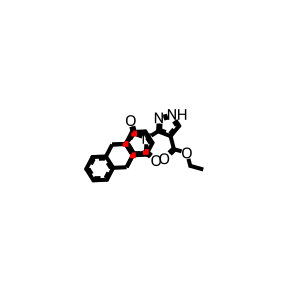 CCOC(=O)c1c[nH]nc1N1C(=O)C2=C(C1=O)C1c3ccccc3C2c2ccccc21